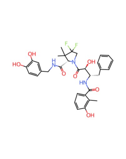 Cc1c(O)cccc1C(=O)N[C@@H](Cc1ccccc1)[C@H](O)C(=O)N1CC(F)(F)C(C)(C)[C@H]1C(=O)NCc1ccc(O)c(O)c1